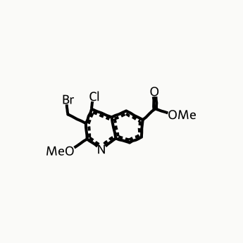 COC(=O)c1ccc2nc(OC)c(CBr)c(Cl)c2c1